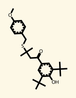 COc1ccc(CSC(C)(C)CC(=O)c2cc(C(C)(C)C)c(O)c(C(C)(C)C)c2)cc1